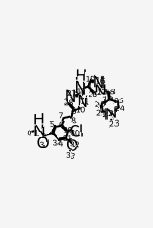 CNC(=O)c1cc(CCc2cnc(Nc3cnn(CC4CCN(C)CC4)c3)nc2)c(Cl)c(OC)c1